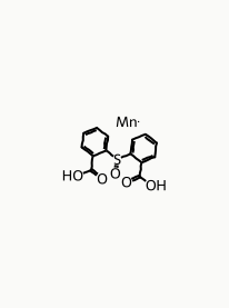 O=C(O)c1ccccc1S(=O)c1ccccc1C(=O)O.[Mn]